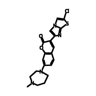 CN1CCCN(c2ccc3cc(-c4cn5cc(Cl)sc5n4)c(=O)oc3c2)CC1